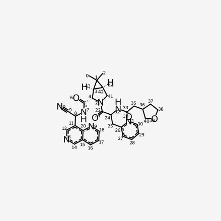 CC1(C)[C@@H]2[C@@H](C(=O)NC(C#N)c3cncc4cccnc34)N(C(=O)C(Cc3ccccn3)NC(=O)CC3CCOC3)C[C@@H]21